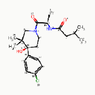 CC(C)[C@@H](NC(=O)CC(C)C(F)(F)F)C(=O)N1CC[C@](O)(c2ccc(Cl)cc2)C(C)(C)C1